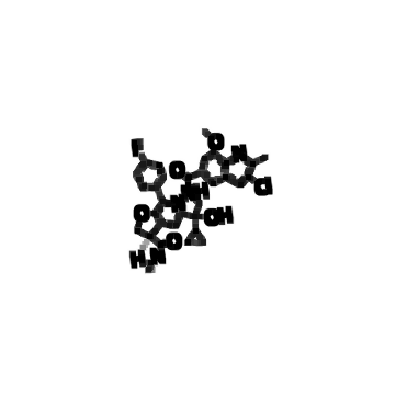 COc1cc(C(=O)NCC(O)(c2cc3c(c(-c4ccc(F)cc4)n2)OC[C@]3(C)C(N)=O)C2CC2)cc2cc(Cl)c(C)nc12